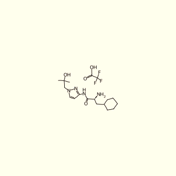 CC(C)(O)Cn1ccc(NC(=O)[C@@H](N)CC2CCCCC2)n1.O=C(O)C(F)(F)F